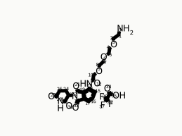 NCCOCCOCCOCC(=O)Nc1cccc2c1C(=O)N(C1CCC(=O)NC1=O)C2=O.O=C(O)C(F)(F)F